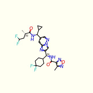 Cc1nonc1C(=O)N[C@H](c1cn2ncc(C(NC(=O)[C@@H](C)CC(F)F)C3CC3)cc2n1)C1CCC(F)(F)CC1